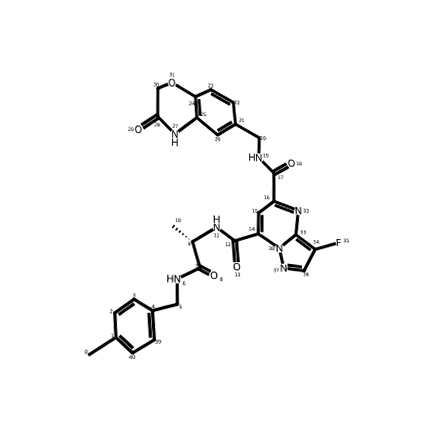 Cc1ccc(CNC(=O)[C@H](C)NC(=O)c2cc(C(=O)NCc3ccc4c(c3)NC(=O)CO4)nc3c(F)cnn23)cc1